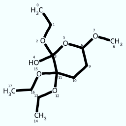 CCOC1(O)OC(OC)CCC1(OCC)OCC